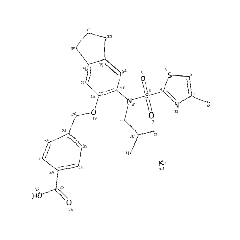 Cc1csc(S(=O)(=O)N(CC(C)C)c2cc3c(cc2OCc2ccc(C(=O)O)cc2)CCC3)n1.[K]